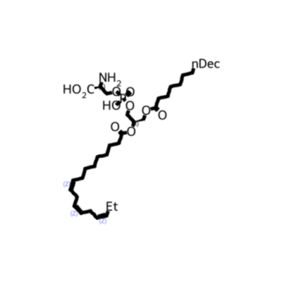 CC/C=C\C/C=C\C/C=C\CCCCCCCC(=O)O[C@H](COC(=O)CCCCCCCCCCCCCCCC)COP(=O)(O)OC[C@H](N)C(=O)O